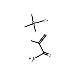 C=C(C)C(N)=O.CCC[N+](C)(C)C